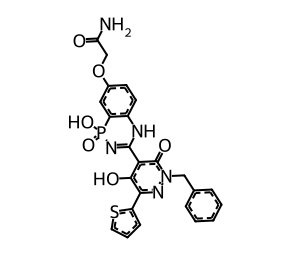 NC(=O)COc1ccc2c(c1)P(=O)(O)N=C(c1c(O)c(-c3cccs3)nn(Cc3ccccc3)c1=O)N2